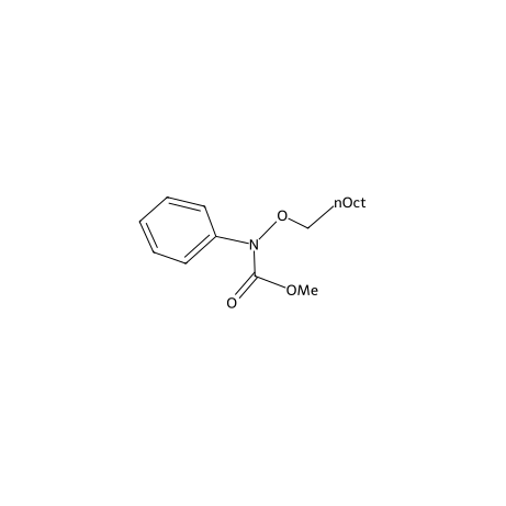 CCCCCCCCCON(C(=O)OC)c1ccccc1